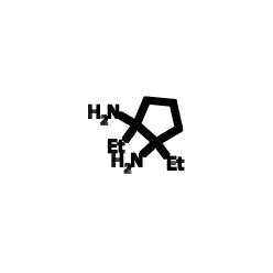 CCC1(N)CCCC1(N)CC